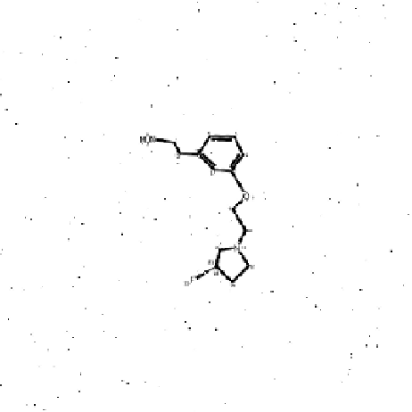 NCCc1cccc(OCCN2CC[C@@H](F)C2)c1